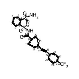 NS(=O)(=O)c1ccccc1S(=O)(=O)NC(=O)c1ccc(C#Cc2ccc(C(F)(F)F)cc2)nc1